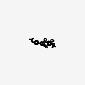 COc1cc2c(cc1OC(C)C)N=CC1CC(c3ccc(CC(C)C)cc3)=CN1C2=O